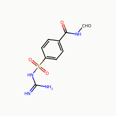 N=C(N)NS(=O)(=O)c1ccc(C(=O)NC=O)cc1